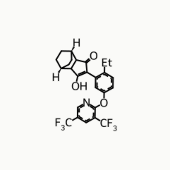 CCc1ccc(Oc2ncc(C(F)(F)F)cc2C(F)(F)F)cc1C1=C(O)C2C(C1=O)[C@H]1CC[C@@H]2CC1